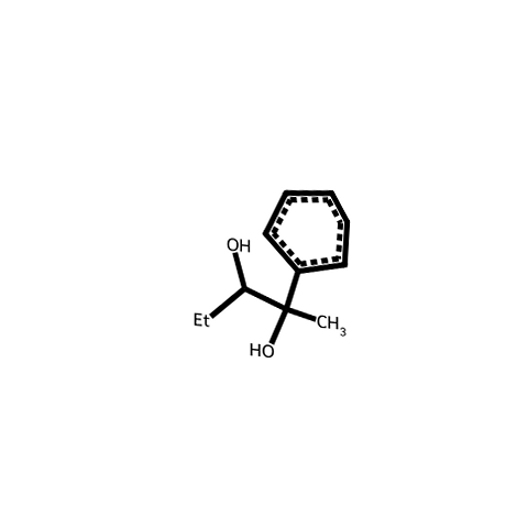 CCC(O)C(C)(O)c1ccccc1